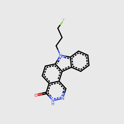 O=c1[nH]ncc2c1ccc1c2c2ccccc2n1CCCF